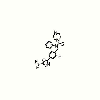 CN1CCN(C(=S)N(Cc2ccc(-c3nnc(C(F)F)o3)cc2F)c2ccccc2)CC1